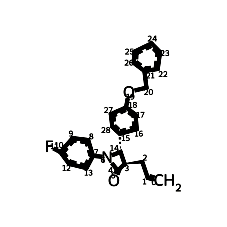 C=CC[C@H]1C(=O)N(c2ccc(F)cc2)[C@@H]1c1ccc(OCc2ccccc2)cc1